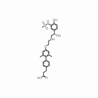 Cc1cc(OCCNC[C@H](O)c2ccc(O)c(NS(C)(=O)=O)c2)cc(C)c1-c1ccc(CCC(=O)O)cc1